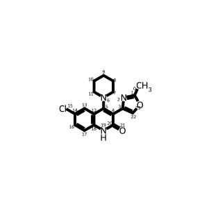 Cc1nc(-c2c(N3CCCCC3)c3cc(Cl)ccc3[nH]c2=O)co1